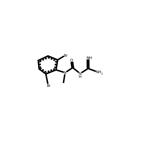 CN(C(=O)NC(=N)N)c1c(Br)cccc1Br